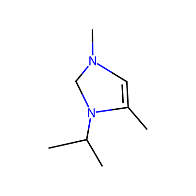 CC1=CN(C)CN1C(C)C